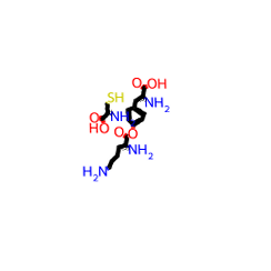 NCCCC[C@H](N)C(=O)Oc1ccc(C[C@H](N)C(=O)O)cc1.N[C@@H](CS)C(=O)O